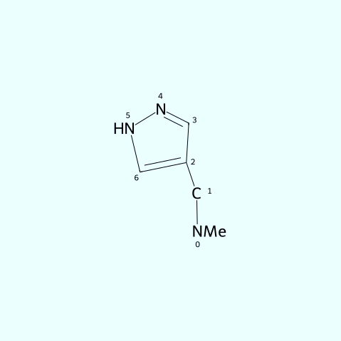 CNCc1cn[nH]c1